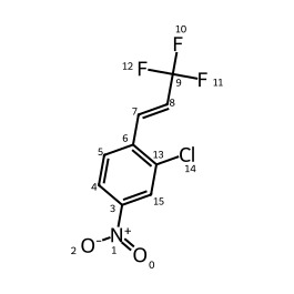 O=[N+]([O-])c1ccc(C=CC(F)(F)F)c(Cl)c1